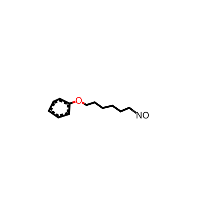 O=NCCCCCCOc1ccccc1